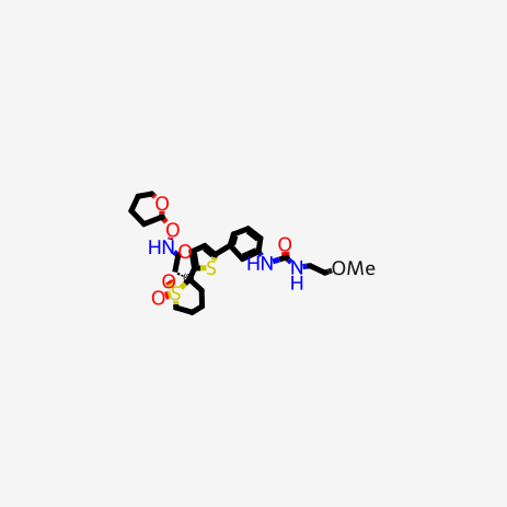 COCCNC(=O)Nc1cccc(-c2ccc([C@@]3(CC(=O)NOC4CCCCO4)CCCCS3(=O)=O)s2)c1